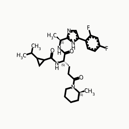 CC(C)C1CC1C(=O)N[C@@H](CCC(=O)N1CCCC[C@@H]1C)C(=O)N[C@@H](C)c1ncc(-c2ccc(F)cc2F)[nH]1